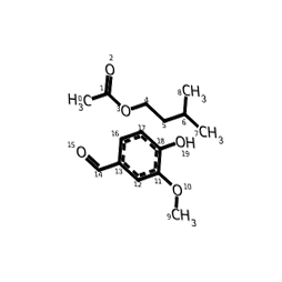 CC(=O)OCCC(C)C.COc1cc(C=O)ccc1O